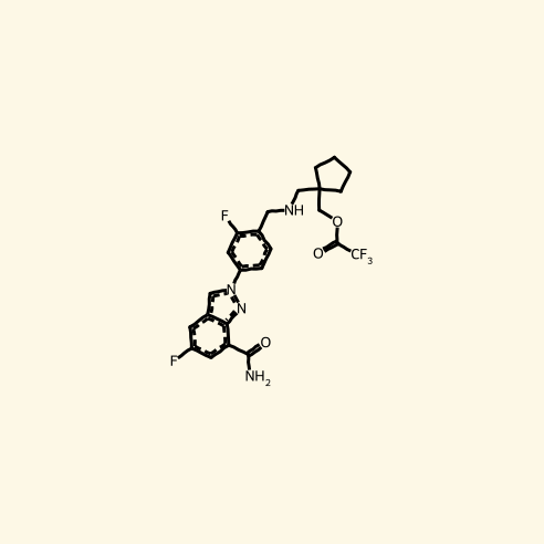 NC(=O)c1cc(F)cc2cn(-c3ccc(CNCC4(COC(=O)C(F)(F)F)CCCC4)c(F)c3)nc12